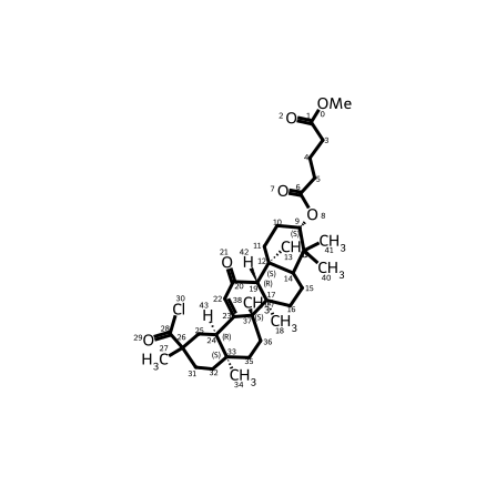 COC(=O)CCCC(=O)O[C@H]1CC[C@@]2(C)C(CC[C@]3(C)[C@@H]2C(=O)C=C2[C@@H]4CC(C)(C(=O)Cl)CC[C@]4(C)CC[C@]23C)C1(C)C